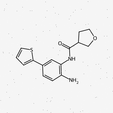 Nc1ccc(-c2cccs2)cc1NC(=O)C1CCOC1